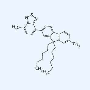 CCCCCCC1(CCCCCC)c2cc(C)ccc2-c2ccc(-c3ccc(C)c4nsnc34)cc21